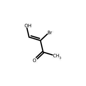 CC(=O)/C(Br)=C/O